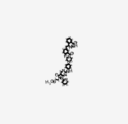 COCCn1c(=O)c2cnc(Nc3ccc(N4CCN(C(=O)c5cc(Cc6n[nH]c(=O)c7ccccc67)ccc5F)CC4)cc3)nc2n1-c1ccccn1